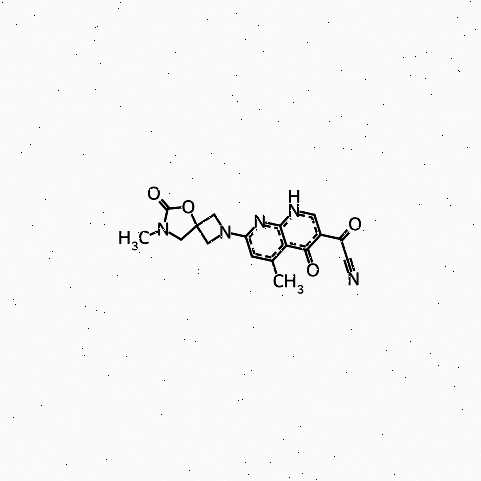 Cc1cc(N2CC3(CN(C)C(=O)O3)C2)nc2[nH]cc(C(=O)C#N)c(=O)c12